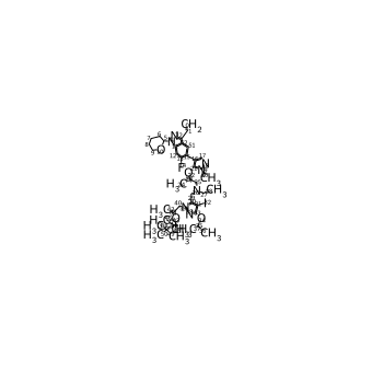 C=Cc1nn(C2CCCCO2)c2cc(F)c(-c3cnn(C)c3O[C@@H](C)CN(CC)Cc3c(I)c(OC(C)C)nn3C[C@H](C)O[Si](C)(C)C(C)(C)C)cc12